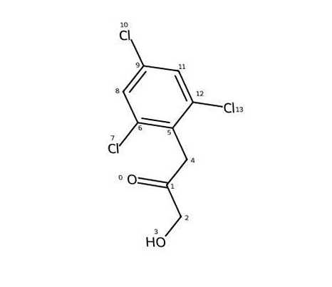 O=C(CO)Cc1c(Cl)cc(Cl)cc1Cl